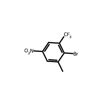 Cc1cc([N+](=O)[O-])cc(C(F)(F)F)c1Br